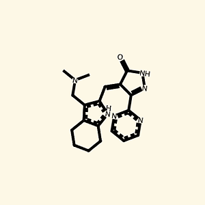 CN(C)Cc1c(/C=C2/C(=O)NN=C2c2ncccn2)[nH]c2c1CCCC2